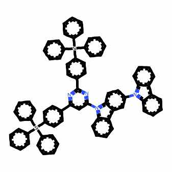 c1ccc([Si](c2ccccc2)(c2ccccc2)c2ccc(-c3cc(-n4c5ccccc5c5cc(-n6c7ccccc7c7ccccc76)ccc54)nc(-c4ccc([Si](c5ccccc5)(c5ccccc5)c5ccccc5)cc4)n3)cc2)cc1